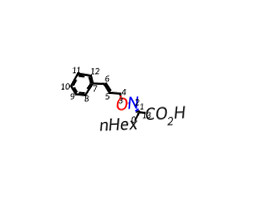 CCCCCC/C(=N\OC/C=C/c1ccccc1)C(=O)O